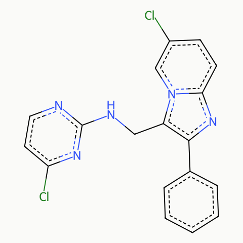 Clc1ccc2nc(-c3ccccc3)c(CNc3nccc(Cl)n3)n2c1